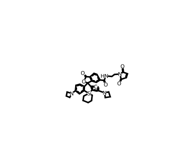 O=C(NCCN1C(=O)C=CC1=O)c1ccc2c(c1)C1(OC2=O)c2ccc(N3CCC3)cc2[Si]2(CCCCC2)c2cc(N3CCC3)ccc21